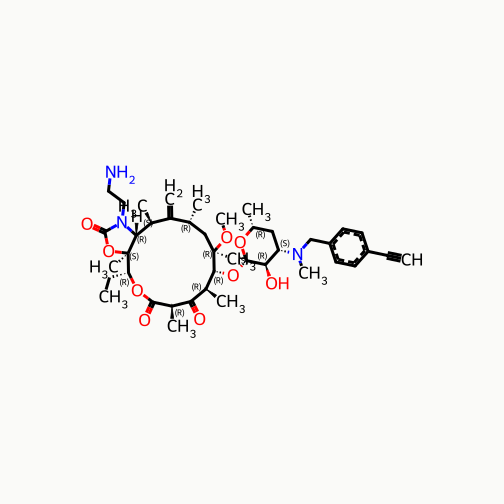 C#Cc1ccc(CN(C)[C@H]2C[C@@H](C)O[C@@H](O[C@@H]3[C@@H](C)C(=O)[C@@H](C)C(=O)O[C@H](CC)[C@@]4(C)OC(=O)N(CCN)[C@@H]4[C@@H](C)C(=C)[C@H](C)C[C@@]3(C)OC)[C@@H]2O)cc1